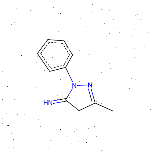 CC1=NN(c2ccccc2)C(=N)C1